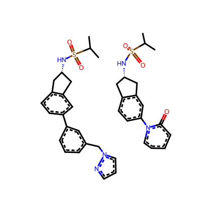 CC(C)S(=O)(=O)N[C@H]1Cc2ccc(-c3cccc(Cn4cccn4)c3)cc2C1.CC(C)S(=O)(=O)N[C@H]1Cc2ccc(-n3ccccc3=O)cc2C1